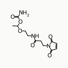 CC(OCCNC(=O)CCN1C(=O)C=CC1=O)OC(N)=O